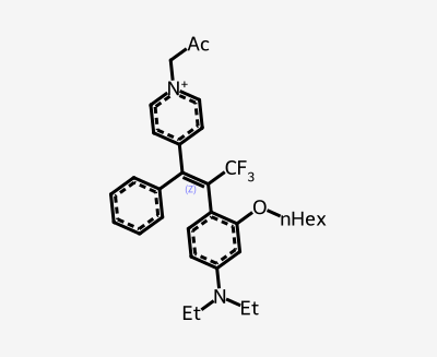 CCCCCCOc1cc(N(CC)CC)ccc1/C(=C(\c1ccccc1)c1cc[n+](CC(C)=O)cc1)C(F)(F)F